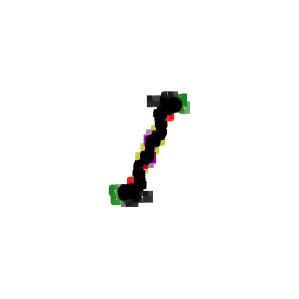 CC(C)(/C=C1\C(=O)c2cc(Cl)c(Cl)cc2C1=C(C#N)C#N)/C=C/C(C)(C)c1cc2sc3c(c2s1)C(I)(I)c1c-3sc2c3c(sc12)-c1sc2cc(C(C)(C)/C=C/C(C)(C)/C=C4\C(=O)c5cc(Cl)c(Cl)cc5C4=C(C#N)C#N)sc2c1C3(I)I